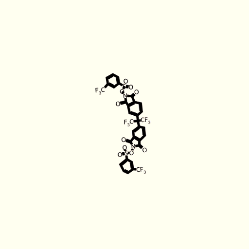 O=C1c2ccc(C(c3ccc4c(c3)C(=O)N(OS(=O)(=O)c3cccc(C(F)(F)F)c3)C4=O)(C(F)(F)F)C(F)(F)F)cc2C(=O)N1OS(=O)(=O)c1cccc(C(F)(F)F)c1